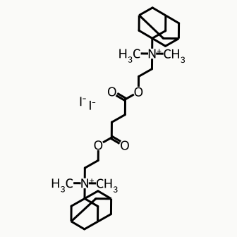 C[N+](C)(CCOC(=O)CCC(=O)OCC[N+](C)(C)C12CC3CC(CC(C3)C1)C2)C12CC3CC(CC(C3)C1)C2.[I-].[I-]